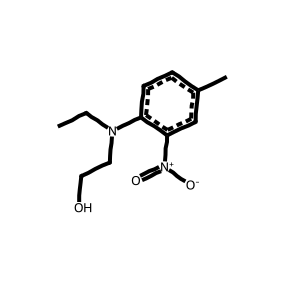 CCN(CCO)c1ccc(C)cc1[N+](=O)[O-]